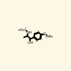 CCCCCCCCNC(C)C(O)c1ccc(OCCCC)cc1